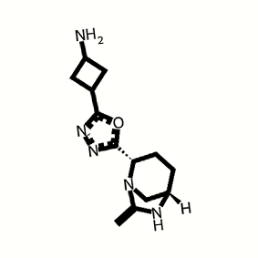 C=C1N[C@H]2CC[C@@H](c3nnc(C4CC(N)C4)o3)N1C2